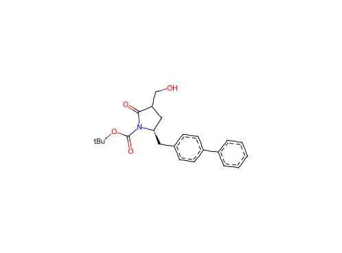 CC(C)(C)OC(=O)N1C(=O)C(CO)C[C@H]1Cc1ccc(-c2ccccc2)cc1